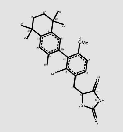 COc1ccc(CC2SC(=S)NC2=O)c(F)c1-c1cc2c(cc1C)C(C)(C)CCC2(C)C